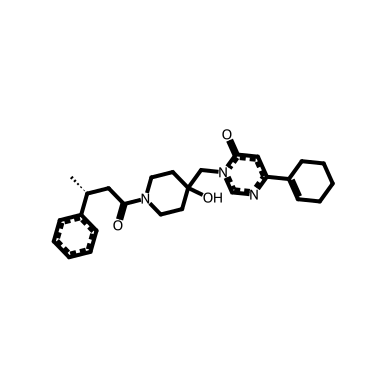 C[C@H](CC(=O)N1CCC(O)(Cn2cnc(C3=CCCCC3)cc2=O)CC1)c1ccccc1